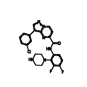 O=C(Nc1ccc(F)c(F)c1N1CCNCC1)c1ccn2ncc(-c3cccc(Cl)c3)c2n1